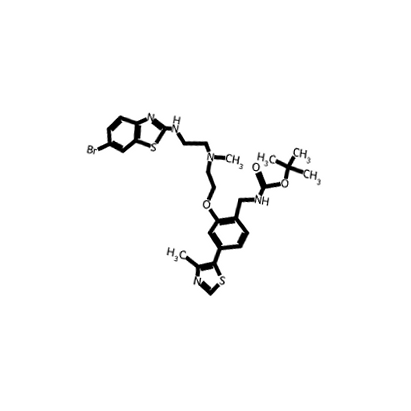 Cc1ncsc1-c1ccc(CNC(=O)OC(C)(C)C)c(OCCN(C)CCNc2nc3ccc(Br)cc3s2)c1